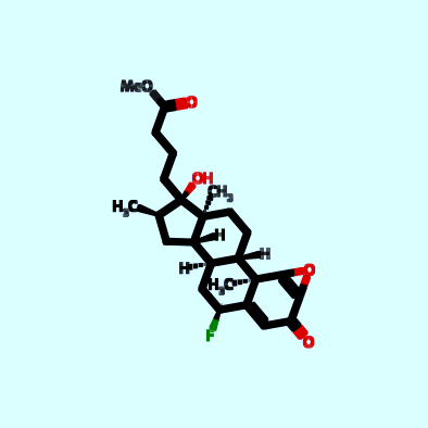 COC(=O)CCC[C@@]1(O)[C@H](C)C[C@H]2[C@@H]3C[C@H](F)C4=CC(=O)C5=C(O5)[C@]4(C)[C@H]3CC[C@@]21C